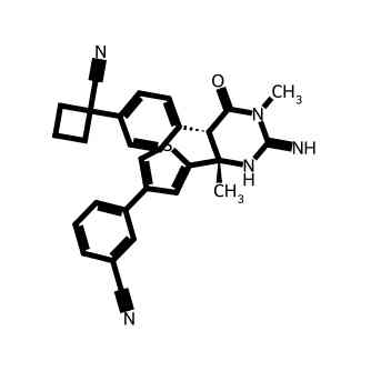 CN1C(=N)N[C@](C)(c2cc(-c3cccc(C#N)c3)cs2)[C@H](c2ccc(C3(C#N)CCC3)cc2)C1=O